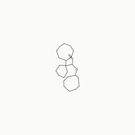 [CH]=CC(OC1CCCCCCC1)C1(C2CCCCCCC2)CCCCC1